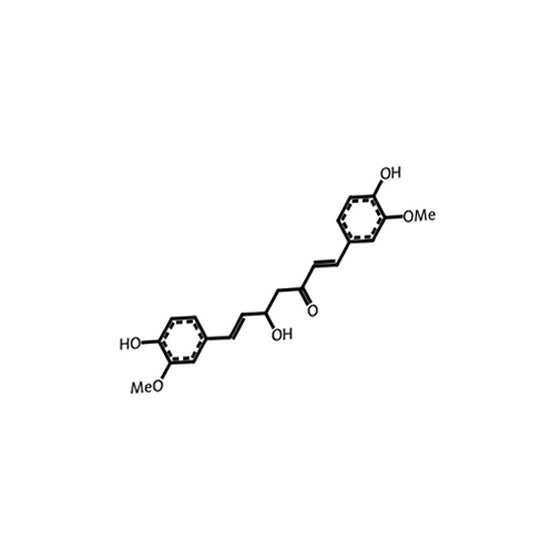 COc1cc(/C=C/C(=O)CC(O)/C=C/c2ccc(O)c(OC)c2)ccc1O